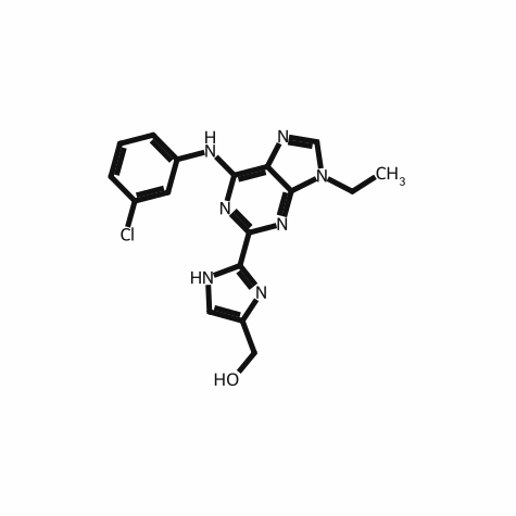 CCn1cnc2c(Nc3cccc(Cl)c3)nc(-c3nc(CO)c[nH]3)nc21